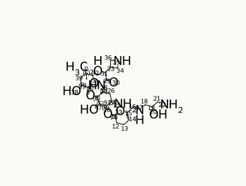 C[C@@H]1CO[C@H](O[C@@H]2[C@@H](O)[C@H](O[C@@H]3CCC=C(CNCC(O)CN)O3)[C@@H](N)C[C@H]2NC(=O)C(O)C2CNC2)[C@H](O)C1